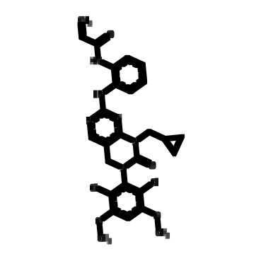 C=CC(=O)Nc1ccccc1Nc1ncc2c(n1)N(CC1CC1)C(=O)N(c1c(Cl)c(OC)cc(OC)c1Cl)C2